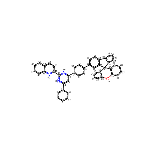 c1ccc(-c2cc(-c3ccc(-c4ccc5c(c4)C4(c6ccccc6Oc6ccccc64)c4ccccc4-5)cc3)nc(-c3ccc4ccccc4n3)n2)cc1